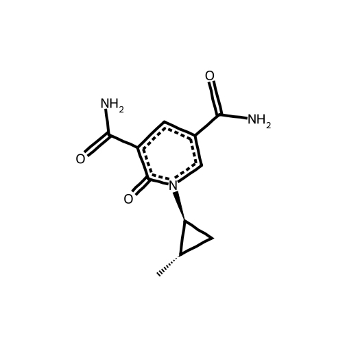 C[C@H]1C[C@@H]1n1cc(C(N)=O)cc(C(N)=O)c1=O